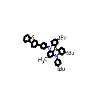 Cc1cc2c3c(c1)N(c1ccc(C(C)(C)C)cc1)c1cc(C(C)(C)C)ccc1B3c1cc(C(C)(C)C)ccc1N2c1ccc(-c2ccc3c(c2)sc2ccccc23)cc1